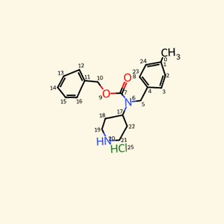 Cc1ccc(CN(C(=O)OCc2ccccc2)C2CCNCC2)cc1.Cl